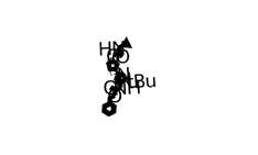 CC(C)(C)n1nc([C@H]2CC[C@@H](OC(=O)NC3CC3)C2)cc1NC(=O)OCc1ccccc1